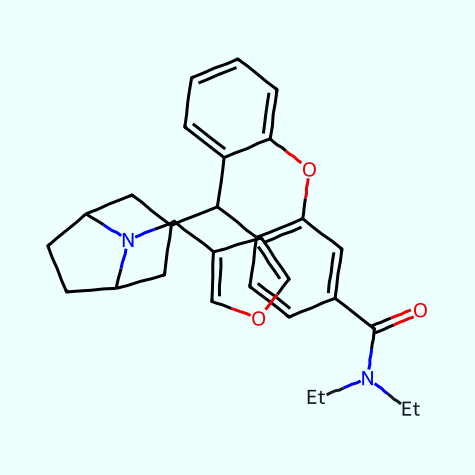 CCN(CC)C(=O)c1ccc2c(c1)Oc1ccccc1C2C1CC2CCC(C1)N2Cc1ccoc1